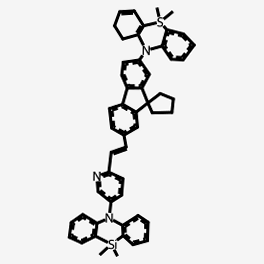 C[Si]1(C)c2ccccc2N(c2ccc(/C=C/c3ccc4c(c3)C3(CCCC3)c3cc(N5C6=C(C=CCC6)S(C)(C)c6ccccc65)ccc3-4)nc2)c2ccccc21